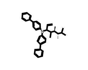 C=CC(C(C)[C@@H](C)[C@@H](C)C(C)C)N(c1ccc(-c2ccccc2)cc1)c1ccc(-c2ccccc2)cc1